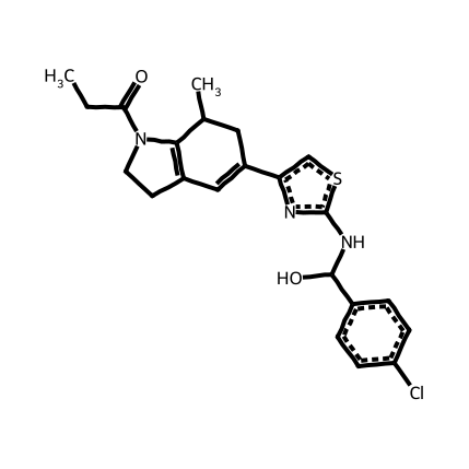 CCC(=O)N1CCC2=C1C(C)CC(c1csc(NC(O)c3ccc(Cl)cc3)n1)=C2